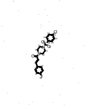 O=C(/C=C/c1ccc(F)cc1)N1CCN(S(=O)(=O)c2ccc(Cl)cc2)CC1